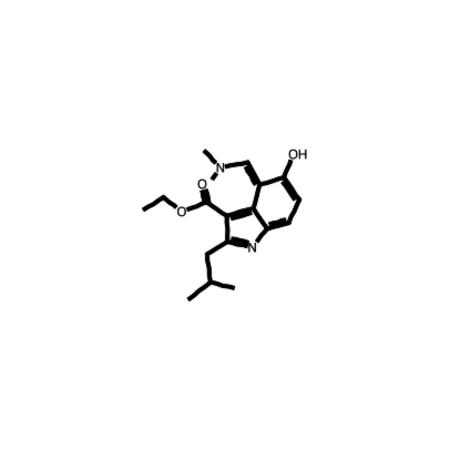 CCOC(=O)C1=c2c(ccc(O)/c2=C/N(C)C)N=C1CC(C)C